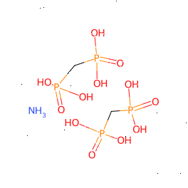 N.O=P(O)(O)CP(=O)(O)O.O=P(O)(O)CP(=O)(O)O